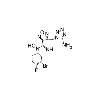 N=C(c1nonc1Cn1nnnc1N)N(O)c1ccc(F)c(Br)c1